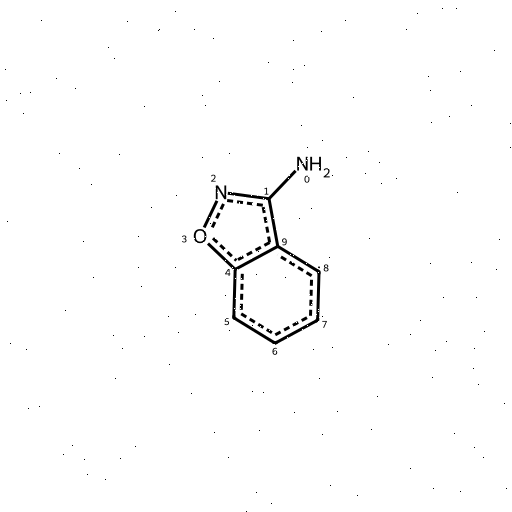 Nc1noc2ccc[c]c12